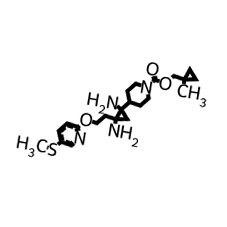 CSc1ccc(OCCC2(N)CC2(N)C2CCN(C(=O)OCC3(C)CC3)CC2)nc1